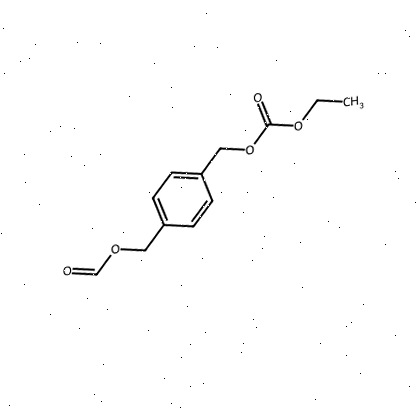 CCOC(=O)OCc1ccc(COC=O)cc1